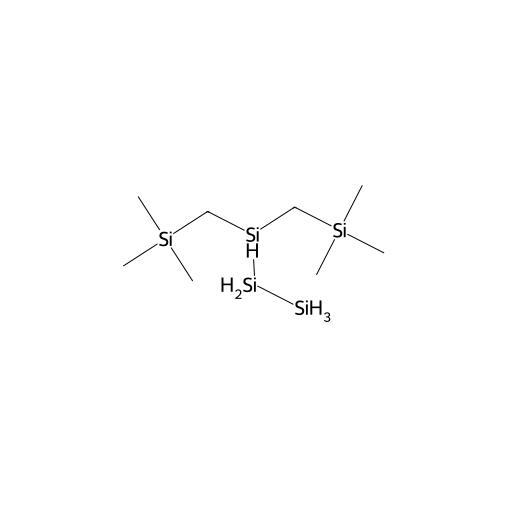 C[Si](C)(C)C[SiH](C[Si](C)(C)C)[SiH2][SiH3]